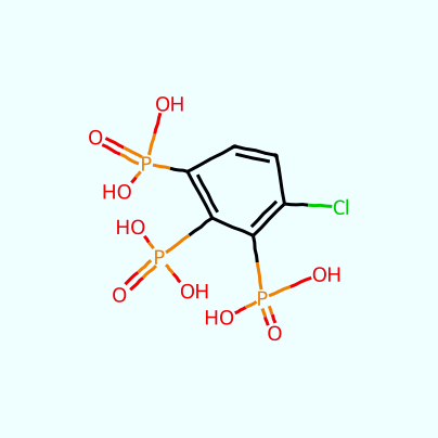 O=P(O)(O)c1ccc(Cl)c(P(=O)(O)O)c1P(=O)(O)O